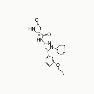 CCCOc1cccc(-c2cc(NC(=O)[C@H]3CNC(=O)C3)nn2-c2ccccc2)c1